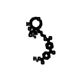 CCc1nn(CCCOC(=O)c2ccc(C(=O)N3CCN(C(C)=O)CC3)cc2)c2c1C(=O)NCCCOCCC2